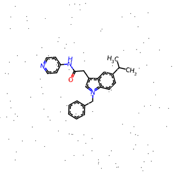 CC(C)c1ccc2c(c1)c(CC(=O)Nc1ccncc1)cn2Cc1ccccc1